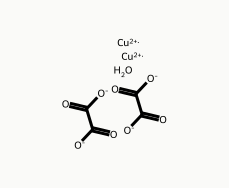 O.O=C([O-])C(=O)[O-].O=C([O-])C(=O)[O-].[Cu+2].[Cu+2]